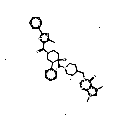 Cc1nc(-c2ccccc2)sc1C(=O)N1CCC(O)(C(=O)N2CCC(Cn3cnc4c(c(F)cn4C)c3=O)CC2)C(c2ccccc2)C1